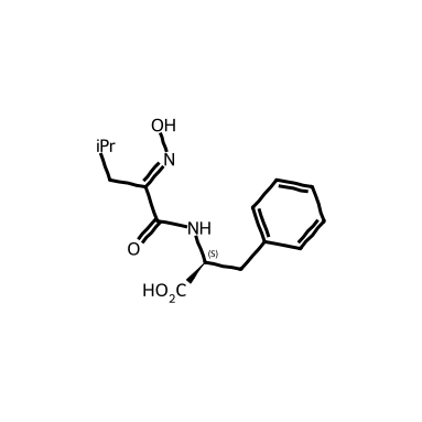 CC(C)CC(=NO)C(=O)N[C@@H](Cc1ccccc1)C(=O)O